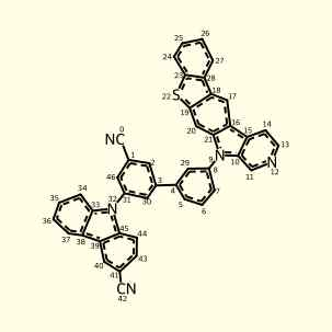 N#Cc1cc(-c2cccc(-n3c4cnccc4c4cc5c(cc43)sc3ccccc35)c2)cc(-n2c3ccccc3c3cc(C#N)ccc32)c1